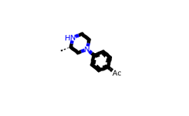 CC(=O)c1ccc(N2CCN[C@@H](C)C2)cc1